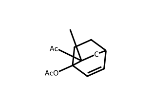 CC(=O)OC12C=CC(CC1)CC2(C)C(C)=O